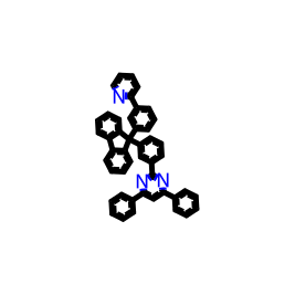 c1ccc(-c2cc(-c3ccccc3)nc(-c3cccc(C4(c5cccc(-c6ccccn6)c5)c5ccccc5-c5ccccc54)c3)n2)cc1